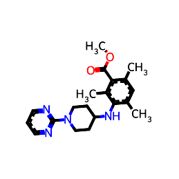 COC(=O)c1c(C)cc(C)c(NC2CCN(c3ncccn3)CC2)c1C